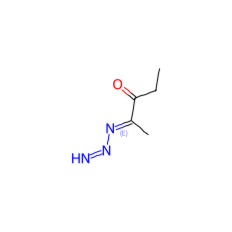 CCC(=O)/C(C)=N/N=N